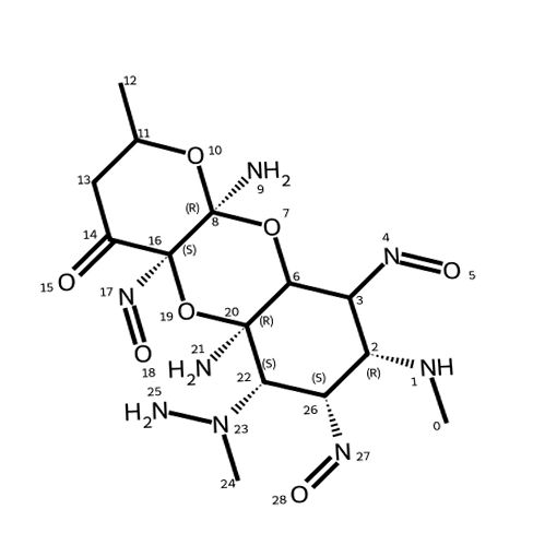 CN[C@H]1C(N=O)C2O[C@]3(N)OC(C)CC(=O)[C@]3(N=O)O[C@]2(N)[C@@H](N(C)N)[C@H]1N=O